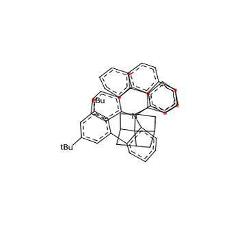 CC(C)(C)c1cc(-c2ccccc2N(c2ccccc2-c2ccccc2)c2ccccc2-c2cccc3cccc(C45CC6CC7CC(C4)C765)c23)cc(C(C)(C)C)c1